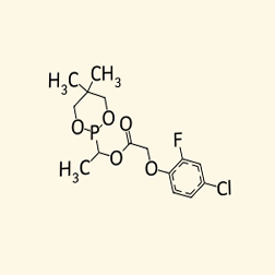 CC(OC(=O)COc1ccc(Cl)cc1F)P1OCC(C)(C)CO1